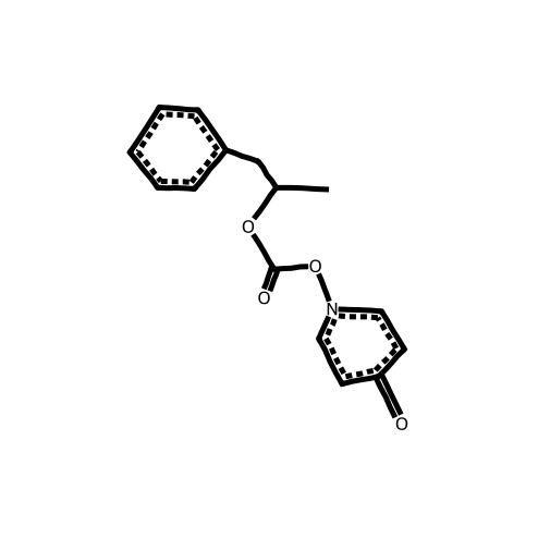 CC(Cc1ccccc1)OC(=O)On1ccc(=O)cc1